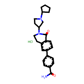 Cl.NC(=O)c1ccc(-c2ccc3c(c2)CCN(C2CCN(C4CCCC4)C2)C3=O)cc1